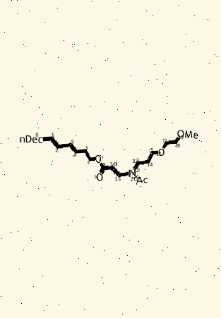 CCCCCCCCCCCCCCCCOC(=O)CCN(CCCOCCOC)C(C)=O